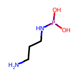 NCCCNP(O)O